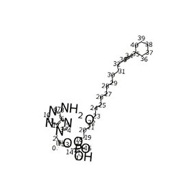 C[C@H](Cn1cnc2c(N)ncnc21)OCP(=O)(O)OCCCOCCCCCCCCCCC#CC1CCCCC1